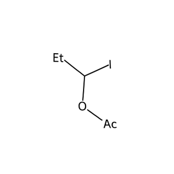 CCC(I)OC(C)=O